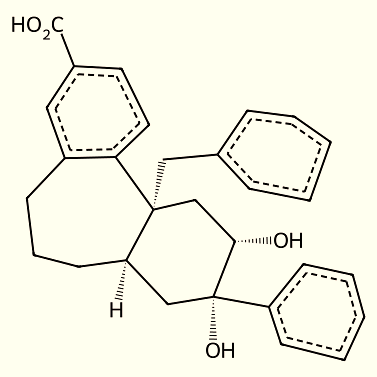 O=C(O)c1ccc2c(c1)CCC[C@@H]1C[C@](O)(c3ccccc3)[C@@H](O)C[C@]21Cc1ccccc1